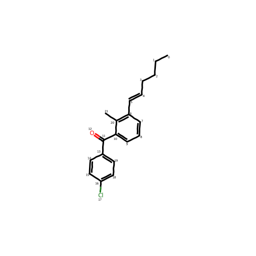 CCCCC=Cc1cccc(C(=O)c2ccc(Cl)cc2)c1C